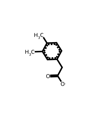 Cc1ccc(CC([O])=O)cc1C